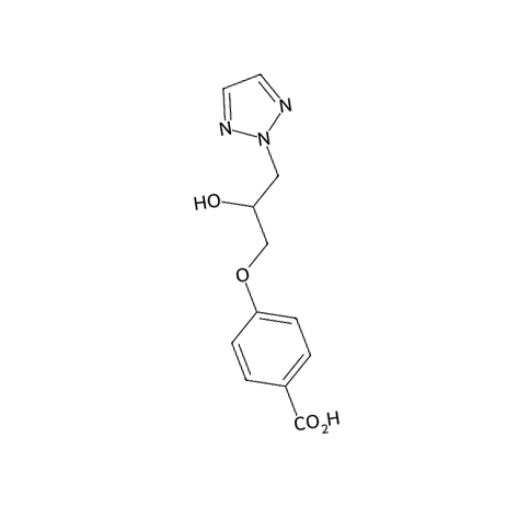 O=C(O)c1ccc(OCC(O)Cn2nccn2)cc1